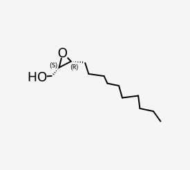 CCCCCCCCCC[C@H]1O[C@H]1CO